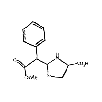 COC(=O)C(c1ccccc1)C1NC(C(=O)O)CS1